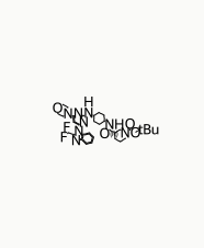 CC(C)(C)OC(=O)N1CCC[C@@H](C(=O)N[C@H]2CC[C@H](Nc3nc(N4CCOCC4)cc(-n4c(C(F)F)nc5ccccc54)n3)CC2)C1